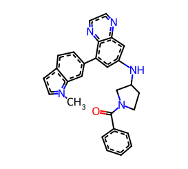 Cn1ccc2ccc(-c3cc(NC4CCN(C(=O)c5ccccc5)C4)cc4nccnc34)cc21